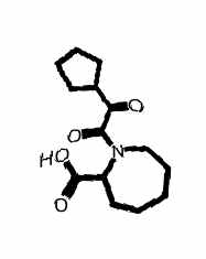 O=C(C(=O)N1CCCCCC1C(=O)O)C1CCCC1